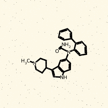 CN1CCC(c2c[nH]c3ccc(N(C(N)=O)c4ccccc4-c4ccccc4)cc23)CC1